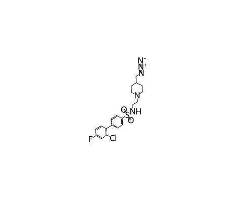 [N-]=[N+]=NCC1CCN(CCNS(=O)(=O)c2ccc(-c3ccc(F)cc3Cl)cc2)CC1